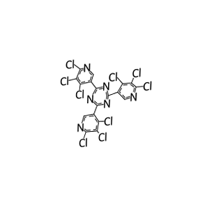 Clc1ncc(-c2nc(-c3cnc(Cl)c(Cl)c3Cl)nc(-c3cnc(Cl)c(Cl)c3Cl)n2)c(Cl)c1Cl